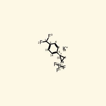 FC(F)c1ccc([C@H]2C[C@@H]2[B-](F)(F)F)cc1.[K+]